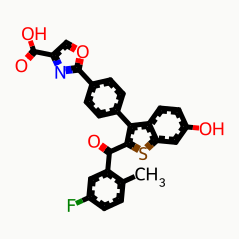 Cc1ccc(F)cc1C(=O)c1sc2cc(O)ccc2c1-c1ccc(-c2nc(C(=O)O)co2)cc1